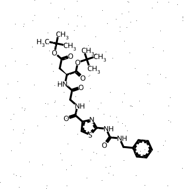 CC(C)(C)OC(=O)C[C@H](NC(=O)CNC(=O)c1csc(NC(=O)NCc2ccccc2)n1)C(=O)OC(C)(C)C